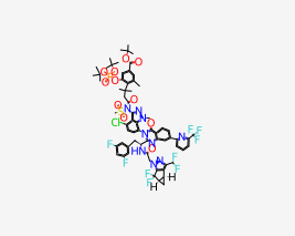 Cc1cc(C(=O)OC(C)(C)C)cc(OP(=O)(OC(C)(C)C)OC(C)(C)C)c1C(C)(C)CC(=O)N(c1nn(C)c2c(-n3c([C@H](Cc4cc(F)cc(F)c4)NC(=O)Cn4nc(C(F)F)c5c4C(F)(F)[C@@H]4C[C@H]54)nc4cc(-c5cccc(C(F)(F)F)n5)ccc4c3=O)ccc(Cl)c12)S(C)(=O)=O